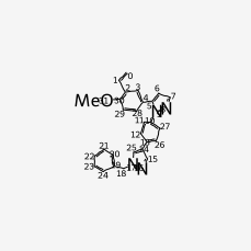 C=Cc1cc(-c2ccnn2-c2ccc(-c3cnn(Cc4ccccc4)c3)cc2)ccc1OC